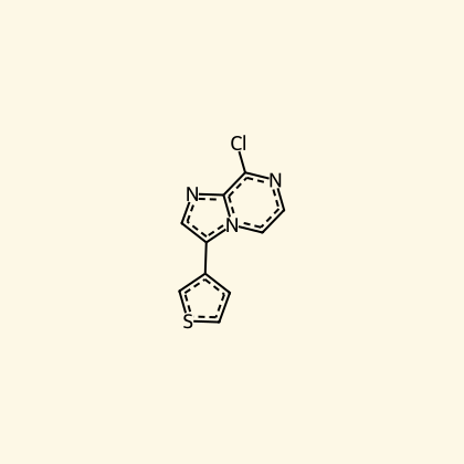 Clc1nccn2c(-c3ccsc3)cnc12